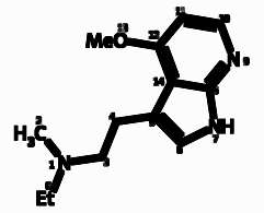 CCN(C)CCc1c[nH]c2nccc(OC)c12